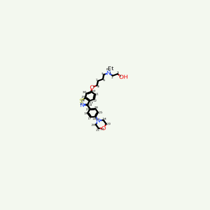 CCN(CCO)CCCCOc1ccc2c(-c3ccc(N4CCOCC4)cc3)nsc2c1